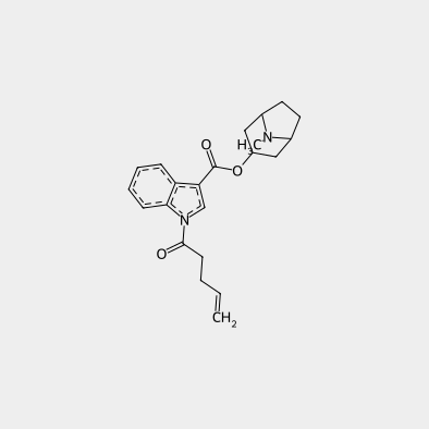 C=CCCC(=O)n1cc(C(=O)OC2CC3CCC(C2)N3C)c2ccccc21